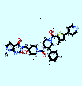 Cc1cc(-c2ccncc2)sc1C(=O)N1CC[C@@H](C(=O)N2CCC(O)(Cn3cnc4c(ccn4C)c3=O)CC2)[C@H](c2ccccc2)C1